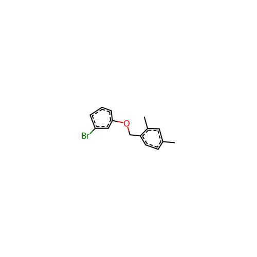 Cc1ccc(COc2cccc(Br)c2)c(C)c1